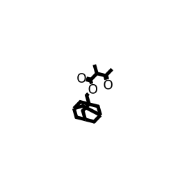 CC(=O)C(C)C(=O)OCC12CC3CC(CC(C3)C1)C2